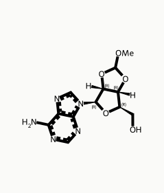 COC1O[C@@H]2[C@H](O1)[C@@H](CO)O[C@H]2n1cnc2c(N)ncnc21